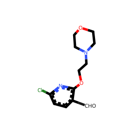 O=Cc1ccc(Cl)nc1OCCN1CCOCC1